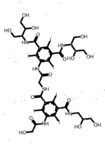 O=C(CO)Nc1c(I)c(C(=O)NCC(=O)Nc2c(I)c(C(=O)NC(CO)C(O)CO)c(I)c(C(=O)NC(CO)C(O)CO)c2I)c(I)c(C(=O)NCC(O)CO)c1I